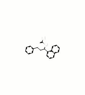 CC(=O)NC(CCc1ccccc1)c1cccc2ccccc12